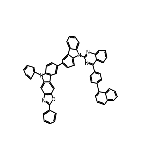 c1ccc(-c2nc3cc4c(cc3o2)c2cc(-c3ccc5c(c3)c3ccccc3n5-c3nc(-c5ccc(-c6cccc7ccccc67)cc5)c5ccccc5n3)ccc2n4-c2ccccc2)cc1